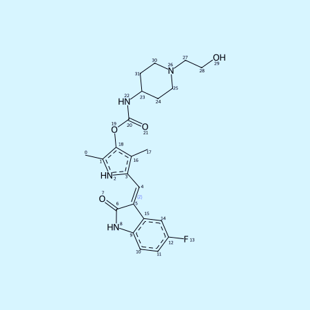 Cc1[nH]c(/C=C2\C(=O)Nc3ccc(F)cc32)c(C)c1OC(=O)NC1CCN(CCO)CC1